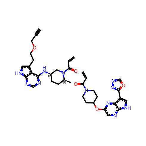 C#CCOCCc1c[nH]c2ncnc(N[C@@H]3CC[C@H](C)N(C(=O)C=C)C3)c12.C=CC(=O)N1CCC(Oc2cnc3[nH]cc(-c4nnco4)c3n2)CC1